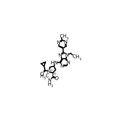 CCn1c(-c2cnc(C)nc2)nc2c(NC3C[C@@H](C(N)=O)[N+](C)(C(=O)C4CC4)C3)ncnc21